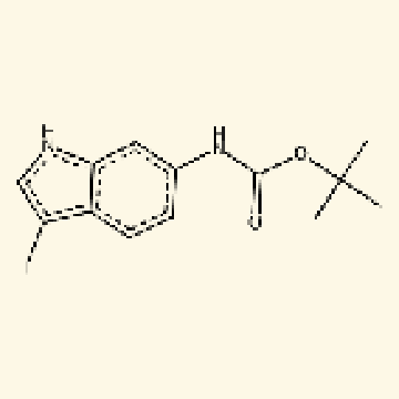 CC(C)(C)OC(=O)Nc1ccc2c(I)c[nH]c2c1